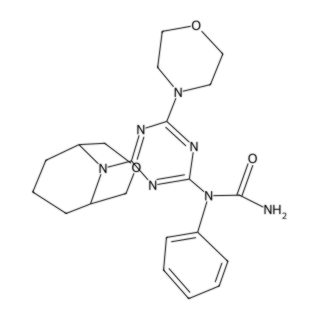 NC(=O)N(c1ccccc1)c1nc(N2CCOCC2)nc(N2C3CCCC2COC3)n1